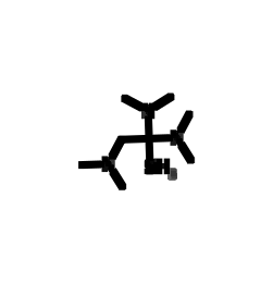 CN(C)CC([SiH3])(N(C)C)N(C)C